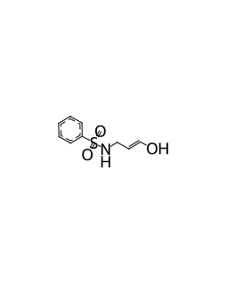 O=S(=O)(NCC=CO)c1ccccc1